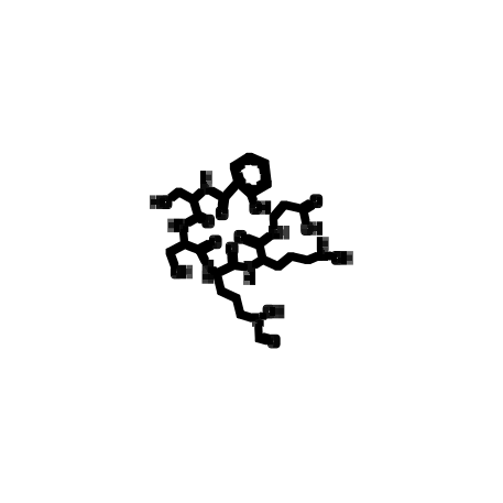 O=CN(O)CCCC(NC(=O)C(CO)NC(=O)C(CO)NC(=O)c1ccccc1O)C(=O)NC(CCCNO)C(=O)NCCC(=O)O